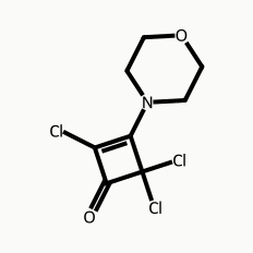 O=C1C(Cl)=C(N2CCOCC2)C1(Cl)Cl